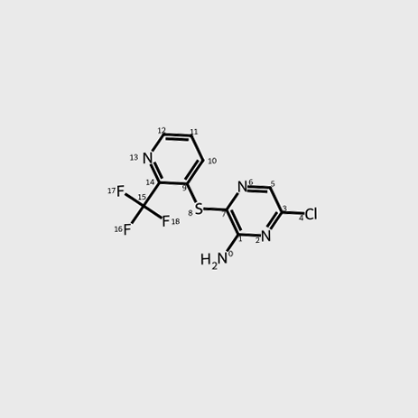 Nc1nc(Cl)cnc1Sc1cccnc1C(F)(F)F